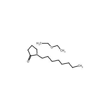 CCCCCCCCN1CCCC1=O.CCOCC